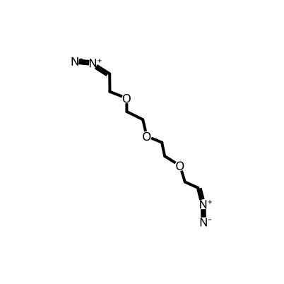 [N-]=[N+]=CCOCCOCCOCC=[N+]=[N-]